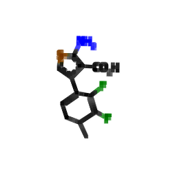 CC1CC=C(c2csc(N)c2C(=O)O)C(F)=C1F